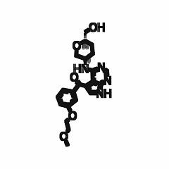 COCCOc1cccc(C(=O)c2c[nH]c3ncnc(N[C@@H]4CC[C@@H](CO)OC4)c23)c1